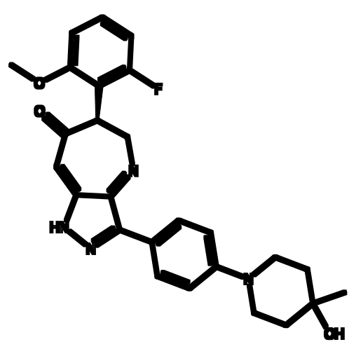 COc1cccc(F)c1[C@H]1CN=c2c(-c3ccc(N4CCC(C)(O)CC4)cc3)n[nH]c2=CC1=O